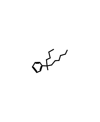 CCCCCCC(C)(CCCC)c1ccccc1